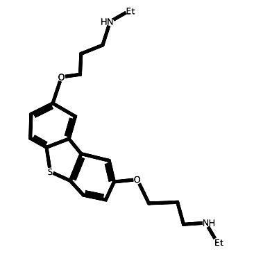 CCNCCCOc1ccc2sc3ccc(OCCCNCC)cc3c2c1